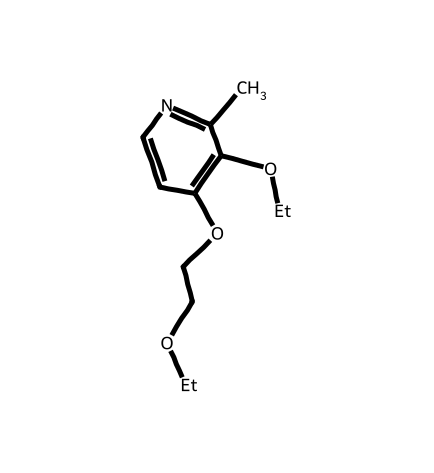 CCOCCOc1ccnc(C)c1OCC